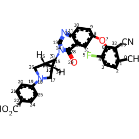 Cc1ccc(F)c(Oc2ccc3ncn([C@H]4[C@@H]5CN(c6ccc(C(=O)O)cc6)C[C@@H]54)c(=O)c3c2)c1C#N